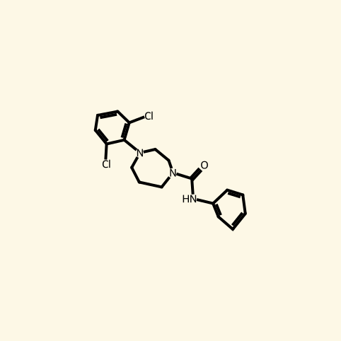 O=C(Nc1ccccc1)N1CCCN(c2c(Cl)cccc2Cl)CC1